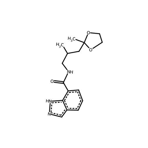 CC(CNC(=O)c1cccc2cn[nH]c12)CC1(C)OCCO1